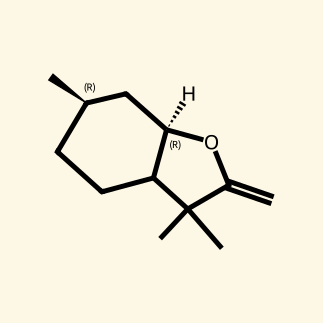 C=C1O[C@@H]2C[C@H](C)CCC2C1(C)C